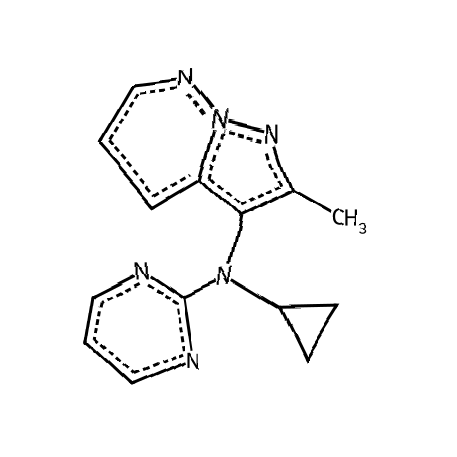 Cc1nn2ncccc2c1N(c1ncccn1)C1CC1